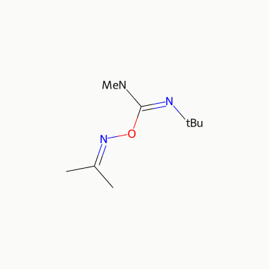 CN/C(=N/C(C)(C)C)ON=C(C)C